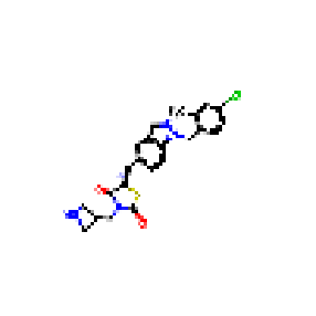 O=C1S/C(=C\c2ccc3c(cnn3Cc3ccc(Cl)cc3C(F)(F)F)c2)C(=O)N1CC1CNC1